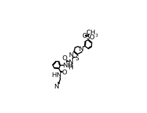 CS(=O)(=O)c1cccc(N2CCc3nc(NC(=O)Nc4ccccc4C(=O)NCC#N)sc3C2)c1